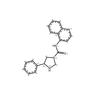 O=C(Nc1ccnc2ccccc12)N1CNC(c2ccccc2)C1